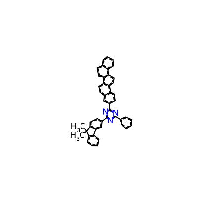 CC1(C)c2ccccc2-c2cc(-c3nc(-c4ccccc4)nc(-c4ccc5c(ccc6c5ccc5c7ccccc7ccc56)c4)n3)ccc21